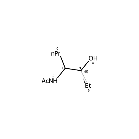 CCCC(NC(C)=O)[C@H](O)CC